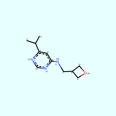 CC(C)c1cc(NCC2COC2)ncn1